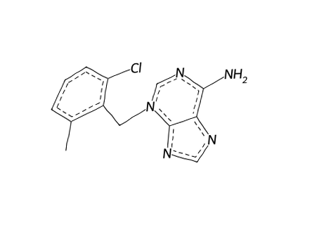 Cc1cccc(Cl)c1Cn1cnc(N)c2ncnc1-2